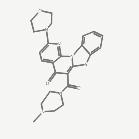 CN1CCN(C(=O)c2c(=O)c3ccc(N4CCOCC4)nc3n3c2sc2ccccc23)CC1